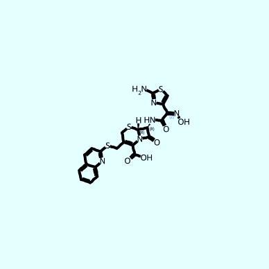 Nc1nc(/C(=N/O)C(=O)N[C@@H]2C(=O)N3C(C(=O)O)=C(CSc4ccc5ccccc5n4)CS[C@H]23)cs1